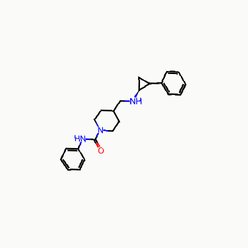 O=C(Nc1ccccc1)N1CCC(CN[C@H]2CC2c2ccccc2)CC1